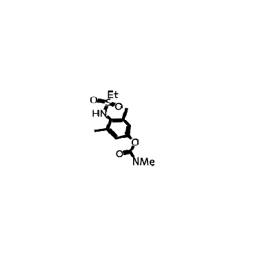 CCS(=O)(=O)Nc1c(C)cc(OC(=O)NC)cc1C